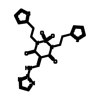 O=C1C(=CNn2nccn2)C(=O)N(CCc2cccs2)S(=O)(=O)N1CCc1cccs1